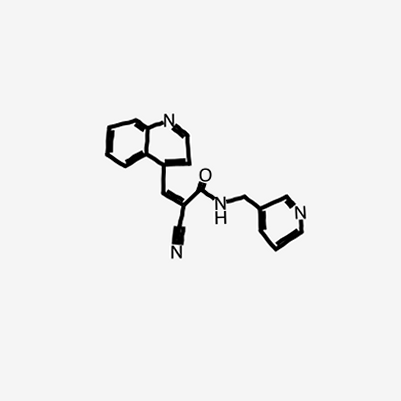 N#CC(=Cc1ccnc2ccccc12)C(=O)NCc1cccnc1